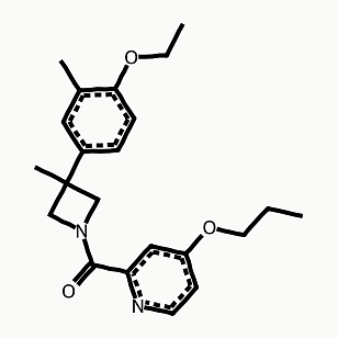 CCCOc1ccnc(C(=O)N2CC(C)(c3ccc(OCC)c(C)c3)C2)c1